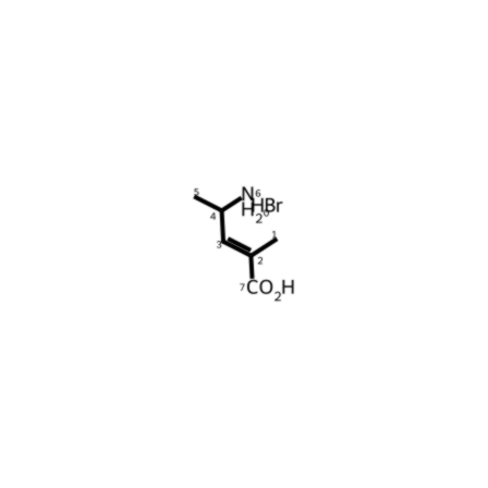 Br.CC(=CC(C)N)C(=O)O